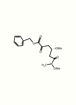 CO[C@@H](CC(=O)C(=O)OCc1ccccc1)CC(=O)N(C)OC